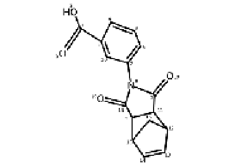 O=C(O)c1cccc(N2C(=O)C3C4C=CC(C4)C3C2=O)c1